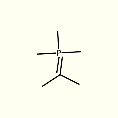 CC(C)=P(C)(C)C